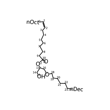 CCCCCCCC/C=C\CCCCCCCC(=O)OC(CO)COCCCCCCCCCCCCCCCC